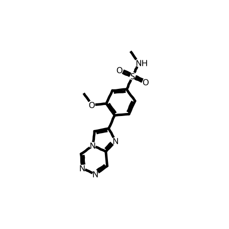 CNS(=O)(=O)c1ccc(-c2cn3cnncc3n2)c(OC)c1